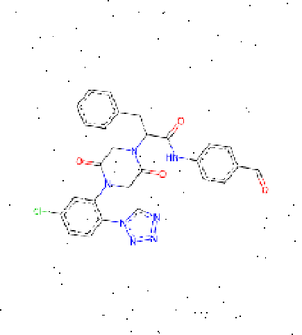 O=Cc1ccc(NC(=O)C(Cc2ccccc2)N2CC(=O)N(c3cc(Cl)ccc3-n3cnnn3)CC2=O)cc1